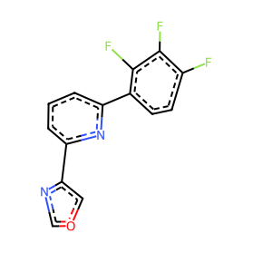 Fc1ccc(-c2cccc(-c3cocn3)n2)c(F)c1F